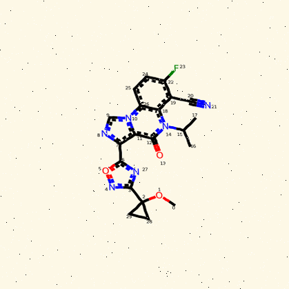 COC1(c2noc(-c3ncn4c3c(=O)n(C(C)C)c3c(C#N)c(F)ccc34)n2)CC1